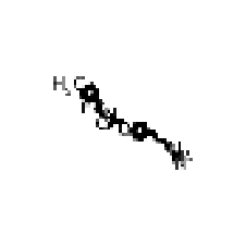 Cc1ccc(/C=C/c2nc(COc3ccc(CCCCN=[N+]=[N-])cc3)co2)c(F)c1